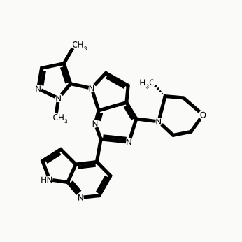 Cc1cnn(C)c1-n1ccc2c(N3CCOC[C@H]3C)nc(-c3ccnc4[nH]ccc34)nc21